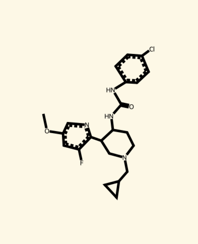 COc1cnc(C2CN(CC3CC3)CCC2NC(=O)Nc2ccc(Cl)cc2)c(F)c1